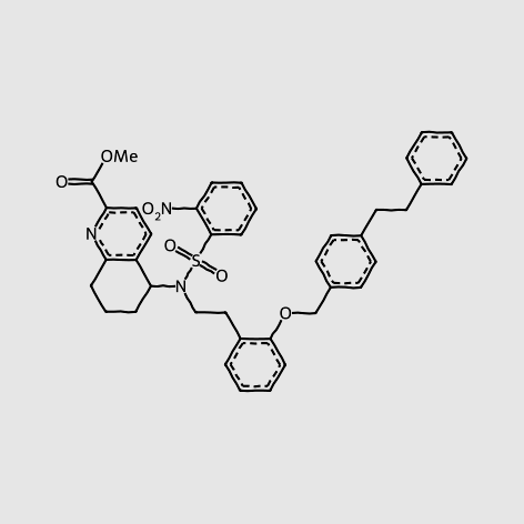 COC(=O)c1ccc2c(n1)CCCC2N(CCc1ccccc1OCc1ccc(CCc2ccccc2)cc1)S(=O)(=O)c1ccccc1[N+](=O)[O-]